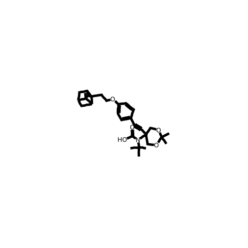 CC1(C)OCC(C#Cc2ccc(OCCC3=CCC4CC3C4(C)C)cc2)(N(C(=O)O)C(C)(C)C)CO1